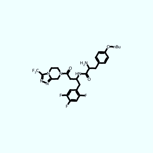 CCCCOc1ccc(CC(N)C(=O)NC(CC(=O)N2CCn3c(nnc3C(F)(F)F)C2)Cc2cc(F)c(F)cc2F)cc1